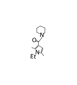 CCn1c(C)cc(C(=O)CN2CCCCC2)c1C